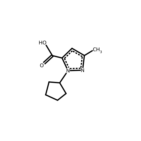 Cc1cc(C(=O)O)n(C2CCCC2)n1